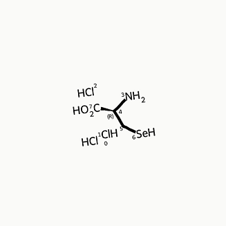 Cl.Cl.Cl.N[C@@H](C[SeH])C(=O)O